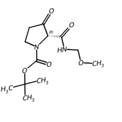 COCNC(=O)[C@H]1C(=O)CCN1C(=O)OC(C)(C)C